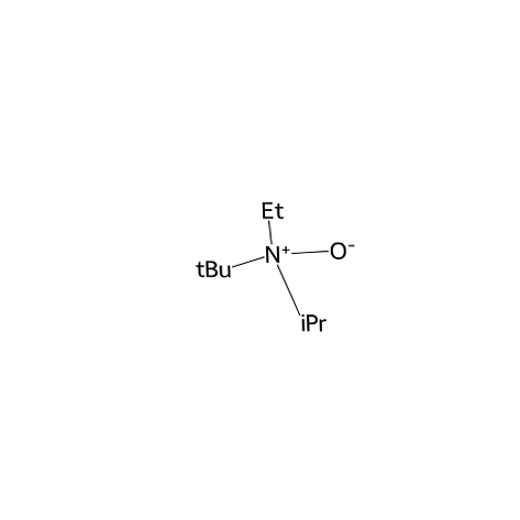 CC[N+]([O-])(C(C)C)C(C)(C)C